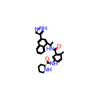 Cc1ccc(NC(=O)[C@H]2CCCCN2)cc1C(=O)NC(C)c1cc(-c2cn[nH]c2)cc2ccccc12